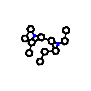 c1ccc(-c2cccc(-c3cccc4c3c3cc(-c5ccc6c(c5)c5cc(-c7ccccc7)ccc5n6-c5ccccc5-c5ccccc5)ccc3n4-c3cccc(-c4ccccc4)c3)c2)cc1